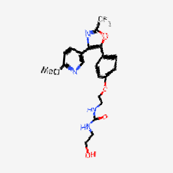 COc1ccc(-c2nc(C(F)(F)F)oc2-c2ccc(OCCNC(=O)NCCO)cc2)cn1